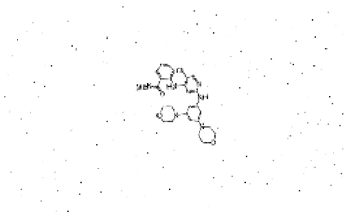 CNC(=O)c1ccccc1Nc1nc(Nc2cc(N3CCOCC3)cc(N3CCOCC3)c2)ncc1Cl